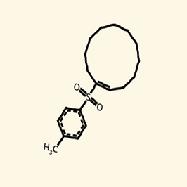 Cc1ccc(S(=O)(=O)/C2=C/CCCCCCCCCC2)cc1